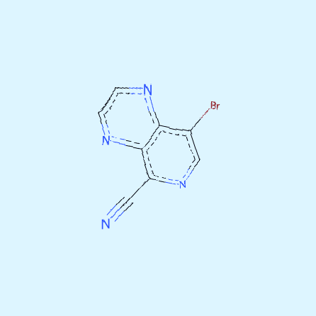 N#Cc1ncc(Br)c2nccnc12